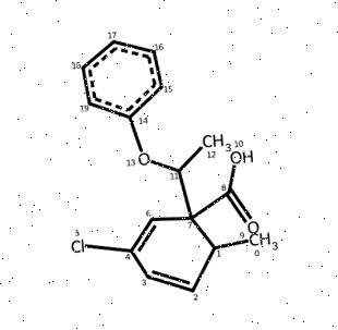 CC1C=CC(Cl)=CC1(C(=O)O)C(C)Oc1ccccc1